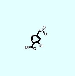 CCC(=O)c1ccc(C[SH](=O)=O)cc1Br